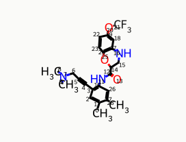 Cc1cc(C#CCN(C)C)c(NC(=O)C2CNc3cc(OC(F)(F)F)ccc3O2)cc1C